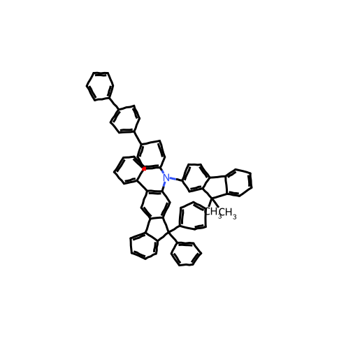 CC1(C)c2ccccc2-c2ccc(N(c3ccc(-c4ccc(-c5ccccc5)cc4)cc3)c3cc4c(cc3-c3ccccc3)-c3ccccc3C4(c3ccccc3)c3ccccc3)cc21